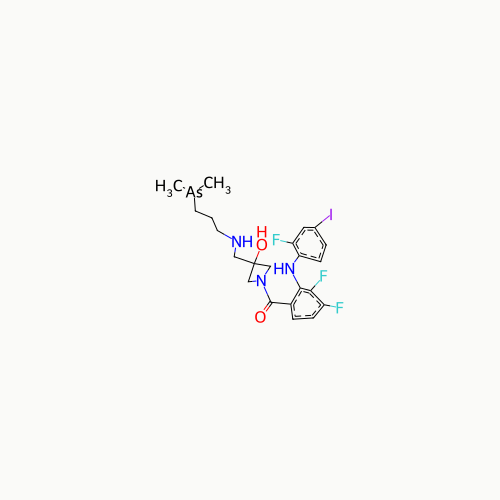 C[As](C)CCCNCC1(O)CN(C(=O)c2ccc(F)c(F)c2Nc2ccc(I)cc2F)C1